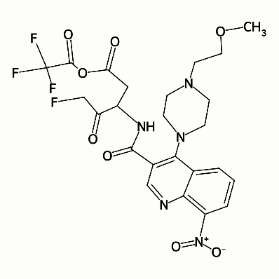 COCCN1CCN(c2c(C(=O)NC(CC(=O)OC(=O)C(F)(F)F)C(=O)CF)cnc3c([N+](=O)[O-])cccc23)CC1